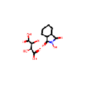 O=C(O)C(O)C(O)C(=O)O.O=C1C2CCCCC2C(=O)N1O